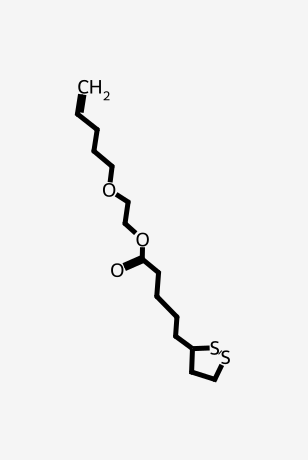 C=CCCCOCCOC(=O)CCCCC1CCSS1